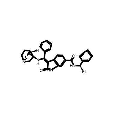 CC[C@@H](NC(=O)c1ccc2c(c1)NC(=O)/C2=C(\N[C@@H]1CN2CCC1CC2)c1ccccc1)c1ccccc1